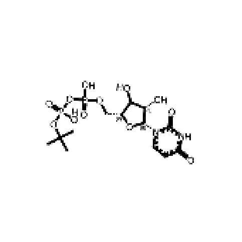 CC(C)(C)OP(=O)(O)OP(=O)(O)OC[C@H]1O[C@@H](n2ccc(=O)[nH]c2=O)[C@@H](O)C1O